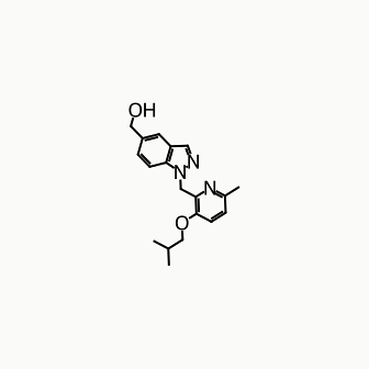 Cc1ccc(OCC(C)C)c(Cn2ncc3cc(CO)ccc32)n1